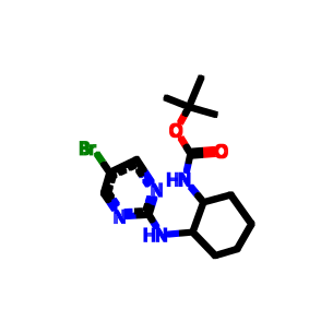 CC(C)(C)OC(=O)NC1CCCCC1Nc1ncc(Br)cn1